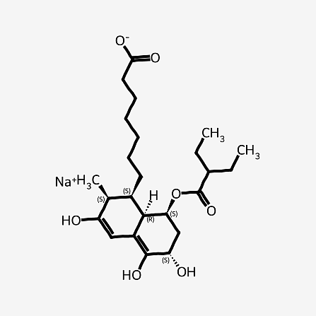 CCC(CC)C(=O)O[C@H]1C[C@H](O)C(O)=C2C=C(O)[C@@H](C)[C@@H](CCCCCCC(=O)[O-])[C@H]21.[Na+]